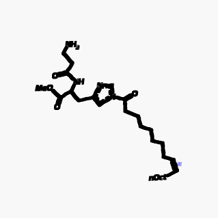 CCCCCCCC/C=C\CCCCCCCC(=O)n1cnc(CC(NC(=O)CCN)C(=O)OC)c1